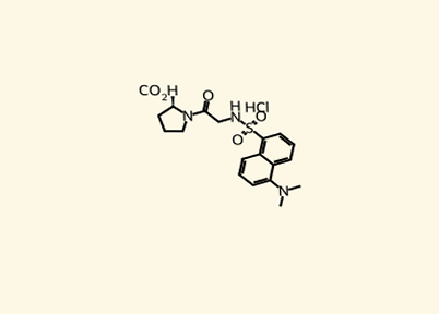 CN(C)c1cccc2c(S(=O)(=O)NCC(=O)N3CCC[C@H]3C(=O)O)cccc12.Cl